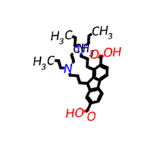 CCCN(CCC)CCCc1c(C(=O)O)ccc2c1C(CCCN(CCC)CCC)c1cc(C(=O)O)ccc1-2